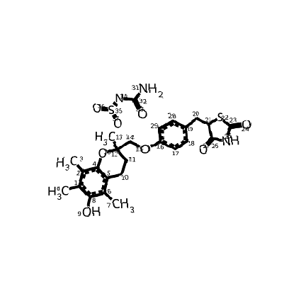 Cc1c(C)c2c(c(C)c1O)CCC(C)(COc1ccc(CC3SC(=O)NC3=O)cc1)O2.NC(=O)N=S(=O)=O